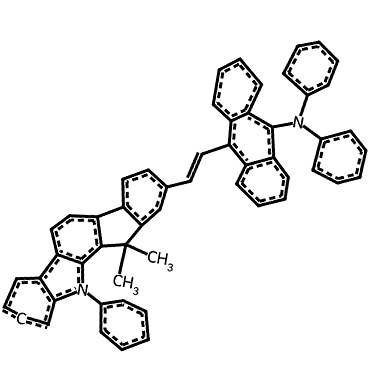 CC1(C)c2cc(/C=C/c3c4ccccc4c(N(c4ccccc4)c4ccccc4)c4ccccc34)ccc2-c2ccc3c4ccccc4n(-c4ccccc4)c3c21